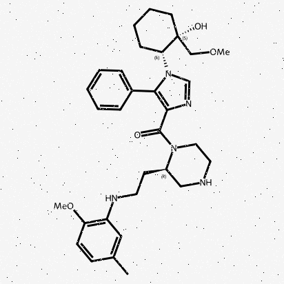 COC[C@]1(O)CCCC[C@H]1n1cnc(C(=O)N2CCNC[C@H]2CCNc2cc(C)ccc2OC)c1-c1ccccc1